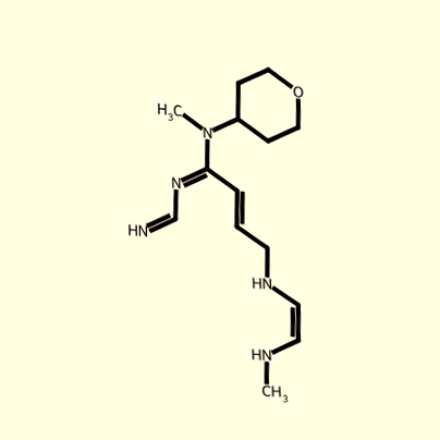 CN/C=C\NC/C=C/C(=N\C=N)N(C)C1CCOCC1